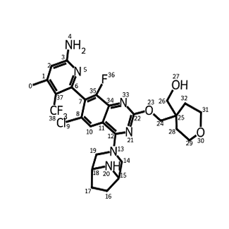 Cc1cc(N)nc(-c2c(Cl)cc3c(N4CC5CCC(C4)N5)nc(OCC4(CO)CCOCC4)nc3c2F)c1C(F)(F)F